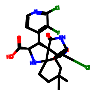 CC1(C)CCC2(CC1)N[C@@H](C(=O)O)C(c1ccnc(Cl)c1F)[C@]21C(=O)Nc2nc(Cl)ccc21